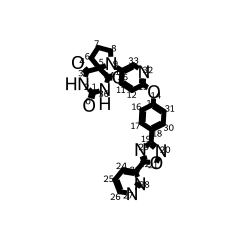 O=C1NC(=O)C2(CCCN2c2ccc(Oc3ccc(-c4noc(-c5cccnn5)n4)cc3)nc2)C(=O)N1